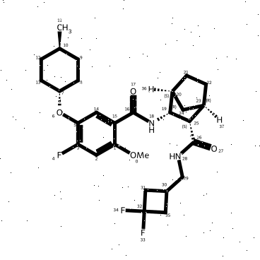 COc1cc(F)c(O[C@H]2CC[C@H](C)CC2)cc1C(=O)N[C@@H]1[C@H]2CC[C@H](C2)[C@@H]1C(=O)NCC1CC(F)(F)C1